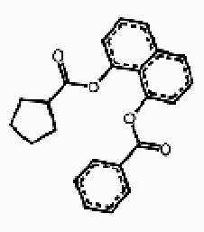 O=C(Oc1cccc2cccc(OC(=O)C3CCCC3)c12)c1ccccc1